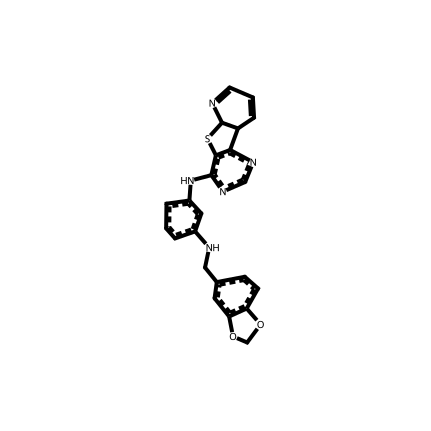 C1=CC2c3ncnc(Nc4cccc(NCc5ccc6c(c5)OCO6)c4)c3SC2N=C1